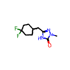 Cn1nc(CC2CCC(F)(F)CC2)[nH]c1=O